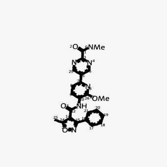 CNC(=O)c1ncc(-c2ccc(NC(=O)c3c(-c4ccccc4)noc3C)c(OC)n2)cn1